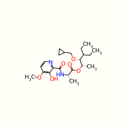 CCC(CC)[C@@H](OCC1CC1)[C@H](C)OC(=O)[C@H](C)NC(=O)c1nccc(OC)c1O